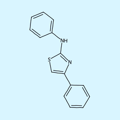 c1ccc(Nc2nc(-c3ccccc3)cs2)cc1